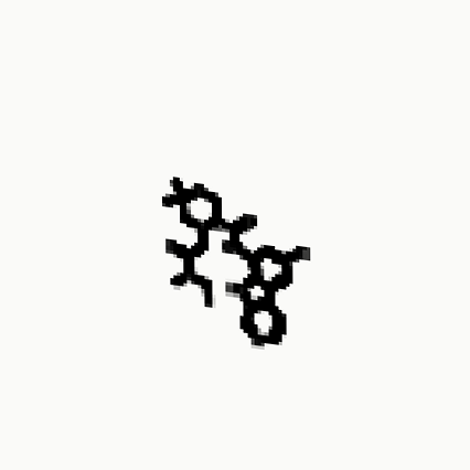 CCN(C)C(=O)CN1CC(C)(C)OC[C@H]1C(=O)Nc1cc(Cl)cc2c1[nH]c1cnccc12